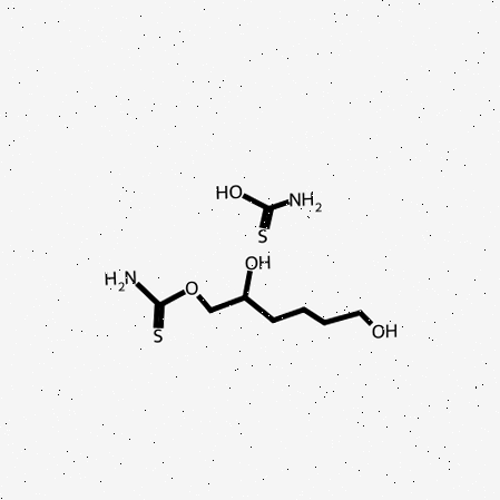 NC(=S)OCC(O)CCCCO.NC(O)=S